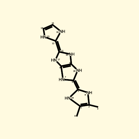 CC1=C(C)NC(=C2NC3=C(NC(=C4NC=CN4)N3)N2)N1